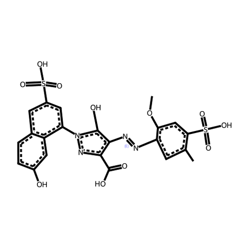 COc1cc(S(=O)(=O)O)c(C)cc1/N=N/c1c(C(=O)O)nn(-c2cc(S(=O)(=O)O)cc3ccc(O)cc23)c1O